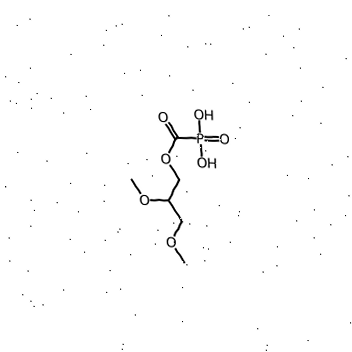 COCC(COC(=O)P(=O)(O)O)OC